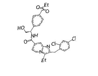 CCc1c(Cc2ccc(Cl)cc2Cl)nc2cc(C(=O)N[C@@H](CO)c3ccc(S(=O)(=O)CC)cc3)ccn12